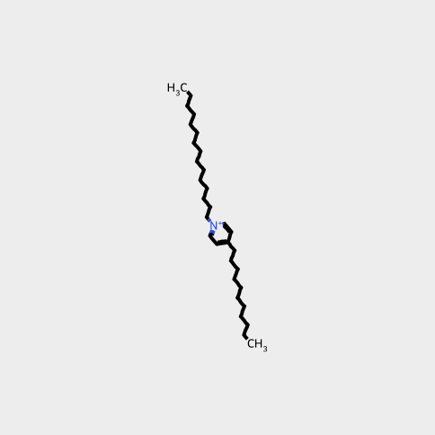 CCCCCCCCCCCCCCC[n+]1ccc(CCCCCCCCCCC)cc1